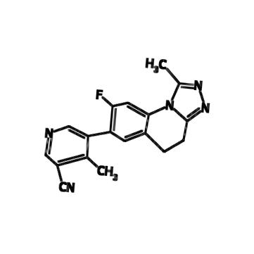 Cc1c(C#N)cncc1-c1cc2c(cc1F)-n1c(C)nnc1CC2